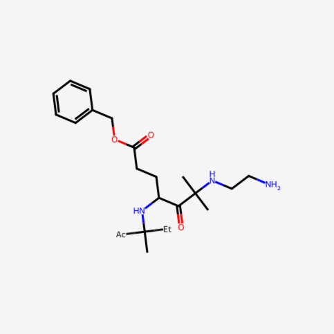 CCC(C)(NC(CCC(=O)OCc1ccccc1)C(=O)C(C)(C)NCCN)C(C)=O